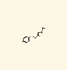 Cc1ccc(SCc2cc(C(=O)NO)no2)cc1